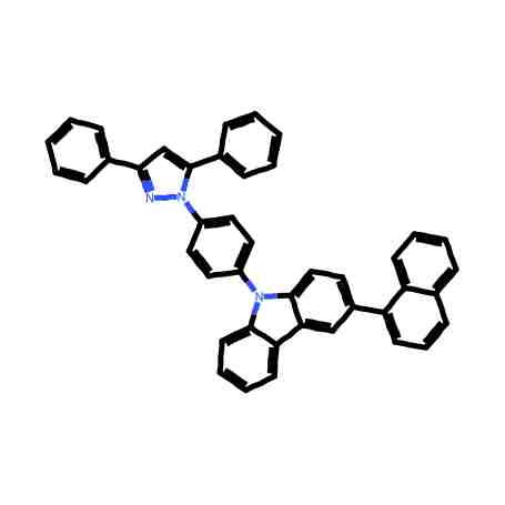 c1ccc(-c2cc(-c3ccccc3)n(-c3ccc(-n4c5ccccc5c5cc(-c6cccc7ccccc67)ccc54)cc3)n2)cc1